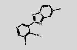 Cc1c(F)cncc1-c1nc2cc(F)ccn2n1